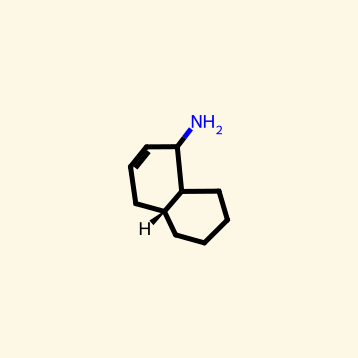 NC1C=CC[C@H]2CCCCC12